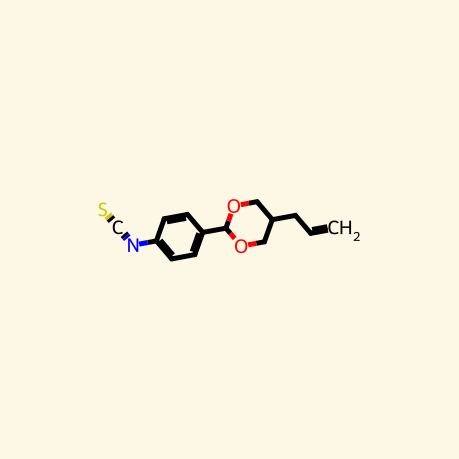 C=CCC1COC(c2ccc(N=C=S)cc2)OC1